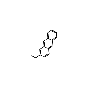 CCc1c[c]c2cc3ccccc3cc2c1